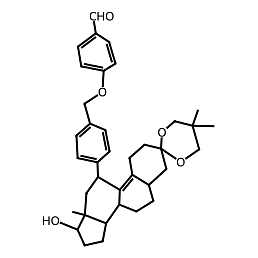 CC1(C)COC2(CCC3=C4C(c5ccc(COc6ccc(C=O)cc6)cc5)CC5(C)C(O)CCC5C4CCC3C2)OC1